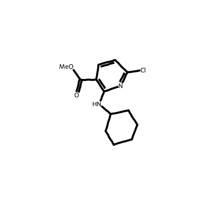 COC(=O)c1ccc(Cl)nc1NC1CCCCC1